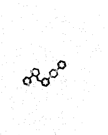 C(=C1/CCCN=C1c1cccnc1)/c1cccc(N2CCN(c3ccccc3)CC2)c1